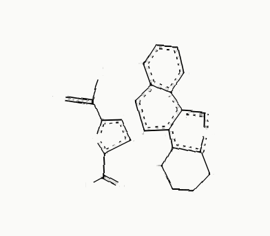 O=C(O)c1ccc(C(=O)O)o1.c1ccc2c(c1)ccc1c3c(ccc12)CCCC3